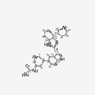 CCCCC(=O)Nc1cncc(-c2cnc3[nH]nc(-c4nc5c(-c6cccnc6)nccc5[nH]4)c3c2)c1